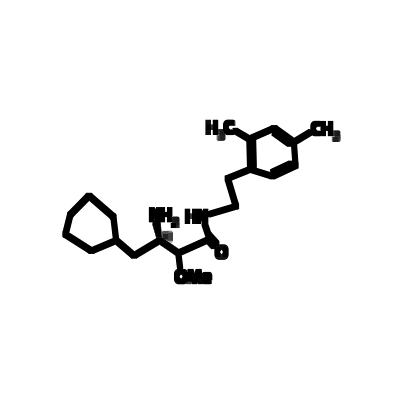 COC(C(=O)NCCc1ccc(C)cc1C)[C@H](N)CC1CCCCC1